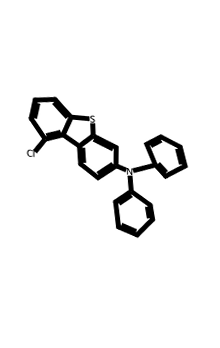 Clc1cccc2sc3cc(N(c4ccccc4)c4ccccc4)ccc3c12